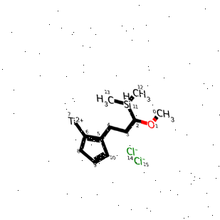 COC(CCC1=[C]([Ti+2])CC=C1)[SiH](C)C.[Cl-].[Cl-]